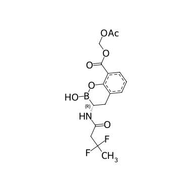 CC(=O)OCOC(=O)c1cccc2c1OB(O)[C@@H](NC(=O)CC(C)(F)F)C2